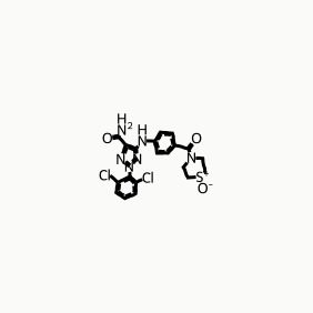 NC(=O)c1nn(-c2c(Cl)cccc2Cl)nc1Nc1ccc(C(=O)N2CC[S+]([O-])CC2)cc1